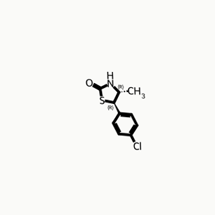 C[C@H]1NC(=O)S[C@@H]1c1ccc(Cl)cc1